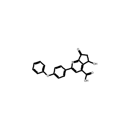 O=C(O)c1cc(-c2ccc(Oc3ccccc3)cc2)nc2c1C(O)CC2=O